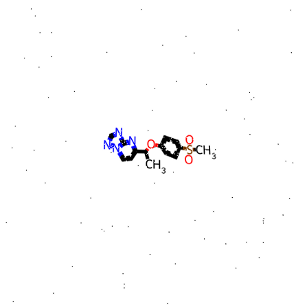 CC(Oc1ccc(S(C)(=O)=O)cc1)c1ccn2ncnc2n1